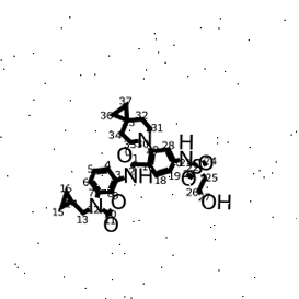 O=C(Nc1cccc2c1oc(=O)n2CC1CC1)c1ccc(NS(=O)(=O)CCO)cc1N1CCC2(CC1)CC2